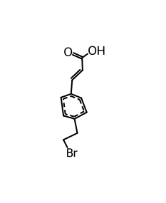 O=C(O)C=Cc1ccc(CCBr)cc1